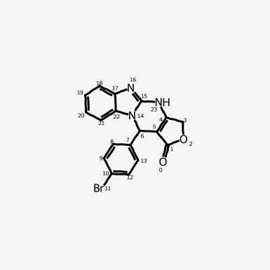 O=C1OCC2=C1C(c1ccc(Br)cc1)n1c(nc3ccccc31)N2